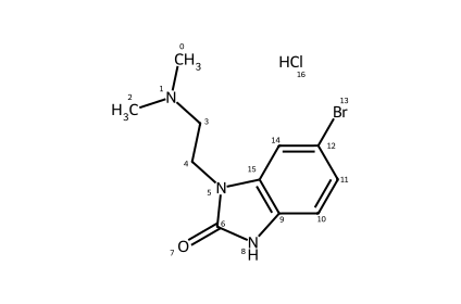 CN(C)CCn1c(=O)[nH]c2ccc(Br)cc21.Cl